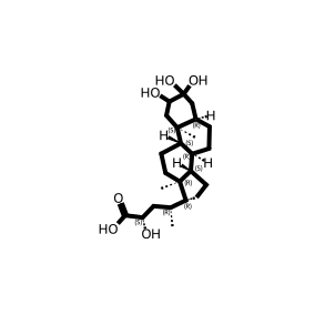 C[C@H](C[C@H](O)C(=O)O)[C@H]1CC[C@H]2[C@@H]3CC[C@@H]4CC(O)(O)C(O)C[C@]4(C)[C@H]3CC[C@]12C